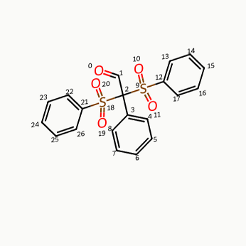 O=CC(c1ccccc1)(S(=O)(=O)c1ccccc1)S(=O)(=O)c1ccccc1